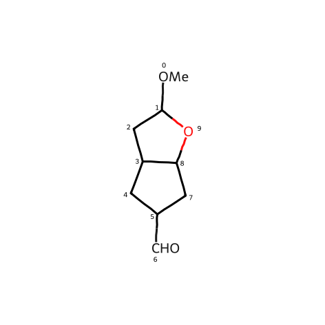 COC1CC2CC(C=O)CC2O1